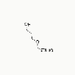 O=CCOCCCO